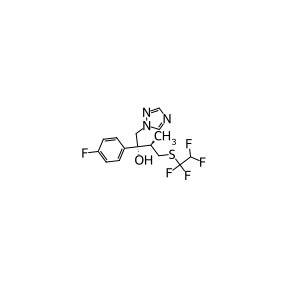 C[C@@H](CSC(F)(F)C(F)F)[C@](O)(Cn1cncn1)c1ccc(F)cc1